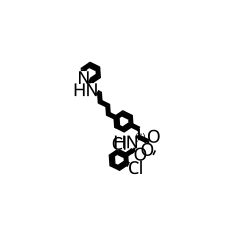 COC(=O)[C@H](Cc1ccc(CCCCNc2ccccn2)cc1)NC(=O)c1c(Cl)cccc1Cl